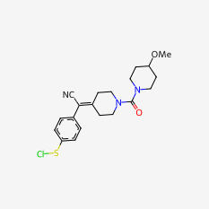 COC1CCN(C(=O)N2CCC(=C(C#N)c3ccc(SCl)cc3)CC2)CC1